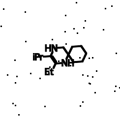 CCC1=C(C(C)C)NCC2(CCCCC2)N1